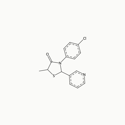 CC1SC(c2cccnc2)N(c2ccc(Cl)cc2)C1=O